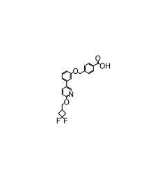 O=C(O)c1ccc(COc2cccc(-c3ccc(OCC4CC(F)(F)C4)nc3)c2)cc1